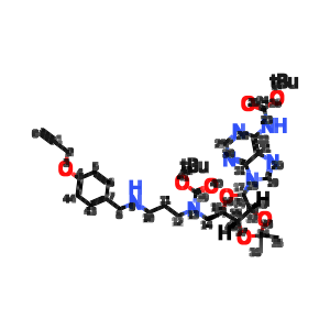 C#CCOc1ccc(CNCCCN(C[C@H]2O[C@@H](n3cnc4c(NC(=O)OC(C)(C)C)ncnc43)[C@@H]3OC(C)(C)O[C@@H]32)C(=O)OC(C)(C)C)cc1